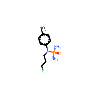 NP(N)(=O)N(CCCCl)c1ccc([N+](=O)[O-])cc1